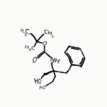 CC(C)(C)OC(=O)NC(CO)(CO)Cc1ccccc1